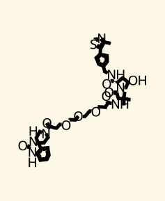 Cc1ncsc1-c1ccc(CNC(=O)[C@@H]2C[C@@H](O)CN2C(=O)[C@@H](NC(=O)CCOCCOCCOCCC(=O)N2CCC3(CC2)NC(=O)Nc2ccccc23)C(C)(C)C)cc1